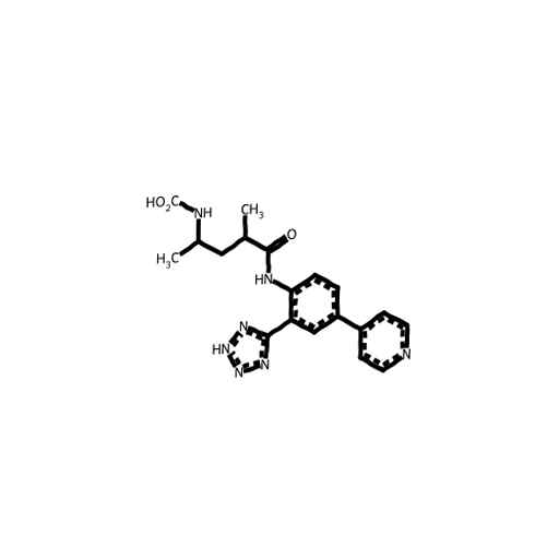 CC(CC(C)C(=O)Nc1ccc(-c2ccncc2)cc1-c1nn[nH]n1)NC(=O)O